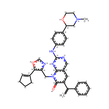 C=C(c1ccccc1)c1cc2cnc(Nc3ccc(C4CN(C)CCO4)cc3)nc2n(Cc2ncoc2C2=CCCC2)c1=O